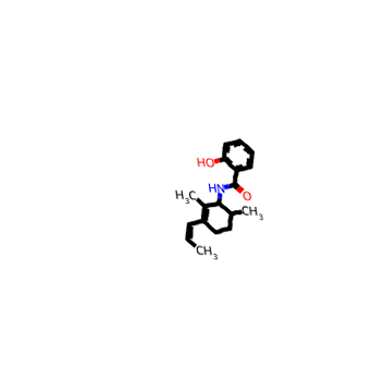 C/C=C\C1=C(C)C(NC(=O)c2ccccc2O)C(C)CC1